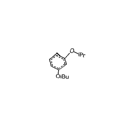 CC(C)COc1cccc(OC(C)C)c1